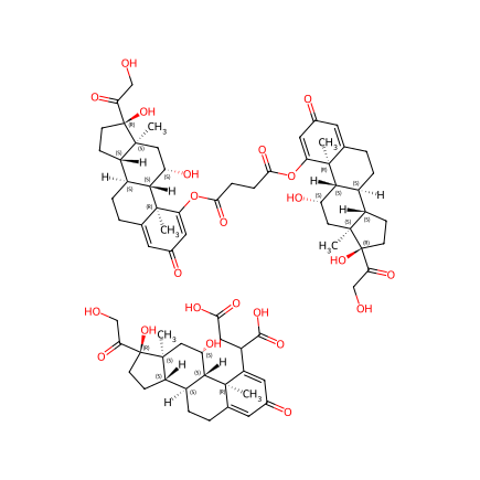 C[C@@]12C(=CC(=O)C=C1C(CC(=O)O)C(=O)O)CC[C@@H]1[C@@H]2[C@@H](O)C[C@@]2(C)[C@H]1CC[C@]2(O)C(=O)CO.C[C@@]12C(=CC(=O)C=C1OC(=O)CCC(=O)OC1=CC(=O)C=C3CC[C@@H]4[C@H]([C@@H](O)C[C@@]5(C)[C@H]4CC[C@]5(O)C(=O)CO)[C@]31C)CC[C@@H]1[C@@H]2[C@@H](O)C[C@@]2(C)[C@H]1CC[C@]2(O)C(=O)CO